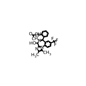 CC(=O)O.Cc1nc2n(c1C)-c1ccc(C(F)(F)F)cc1C(c1ccccc1Cl)=NC2O